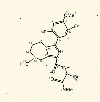 CNC(=O)C(NC(=O)c1nc(-c2cc(F)c(OC)cc2F)n2c1CN(C)CCC2)C(C)(C)C